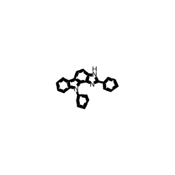 c1ccc(-c2nc3c(ccc4c5ccccc5n(-c5ccccc5)c43)[nH]2)cc1